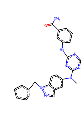 CN(c1ccc2c(cnn2Cc2ccccc2)c1)c1ncnc(Nc2cccc(C(N)=O)c2)n1